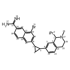 CC(C)C1c2cc(C3CC3c3cc(Br)c4cc(C(=N)N)ccc4c3)ccc2CCN1C